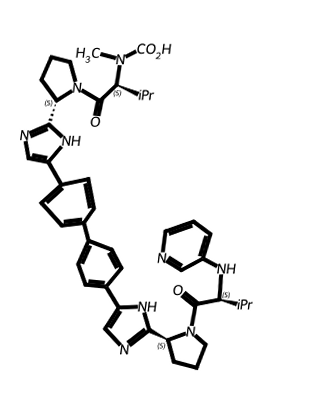 CC(C)[C@H](Nc1cccnc1)C(=O)N1CCC[C@H]1c1ncc(-c2ccc(-c3ccc(-c4cnc([C@@H]5CCCN5C(=O)[C@H](C(C)C)N(C)C(=O)O)[nH]4)cc3)cc2)[nH]1